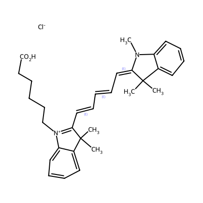 CN1/C(=C/C=C/C=C/C2=[N+](CCCCCC(=O)O)c3ccccc3C2(C)C)C(C)(C)c2ccccc21.[Cl-]